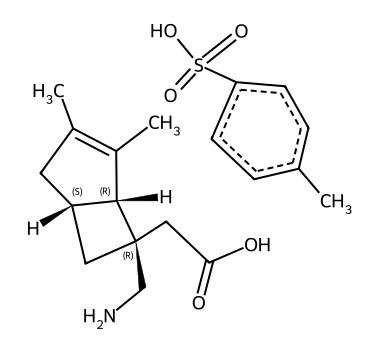 CC1=C(C)[C@H]2[C@@H](C1)C[C@@]2(CN)CC(=O)O.Cc1ccc(S(=O)(=O)O)cc1